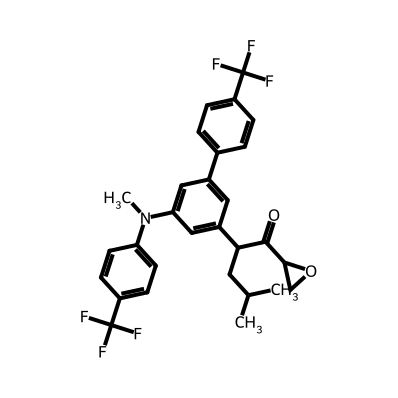 CC(C)CC(C(=O)C1CO1)c1cc(-c2ccc(C(F)(F)F)cc2)cc(N(C)c2ccc(C(F)(F)F)cc2)c1